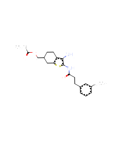 CNC(=O)OCC1CCc2c(sc(NC(=O)CCc3cccc(OC)c3)c2N)C1